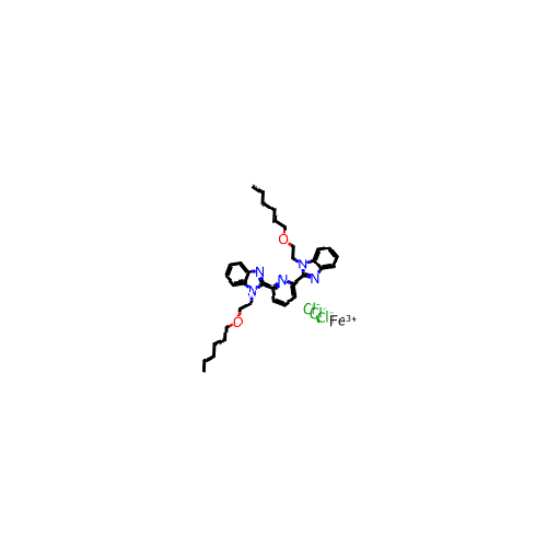 CCCCCCOCCn1c(-c2cccc(-c3nc4ccccc4n3CCOCCCCCC)n2)nc2ccccc21.[Cl-].[Cl-].[Cl-].[Fe+3]